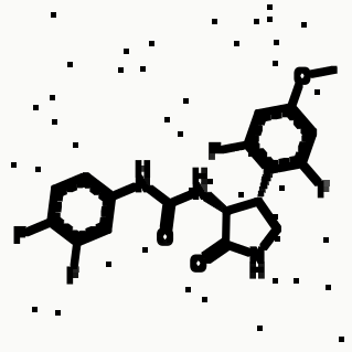 COc1cc(F)c([C@@H]2CNC(=O)[C@H]2NC(=O)Nc2ccc(F)c(F)c2)c(F)c1